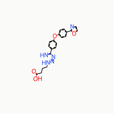 N=C(/N=N\NCCCC(=O)O)c1ccc(Oc2ccc(-c3ncco3)cc2)cc1